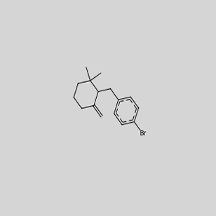 C=C1CCCC(C)(C)C1Cc1ccc(Br)cc1